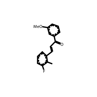 COc1cccc(C(=O)C=Cc2cccc(F)c2C)c1